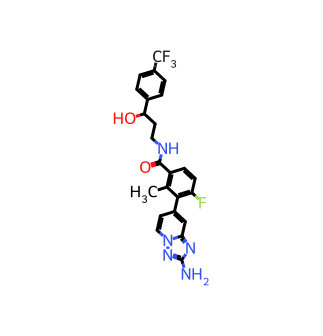 Cc1c(C(=O)NCCC(O)c2ccc(C(F)(F)F)cc2)ccc(F)c1-c1ccn2nc(N)nc2c1